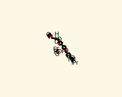 CC(C)c1noc(N2CCC(COc3ccc(-c4ccc(S(=O)(=O)NCCCN5CCOCC5)cc4)cc3)CC2)n1.O=C(O)C(F)(F)F